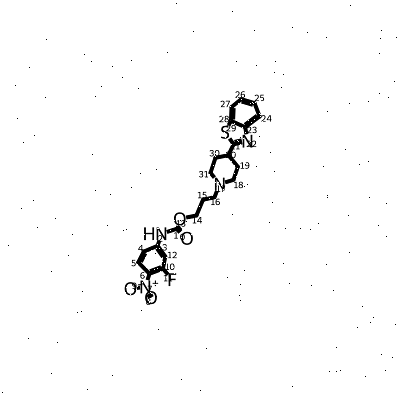 O=C(Nc1ccc([N+](=O)[O-])c(F)c1)OCCCN1CCC(c2nc3ccccc3s2)CC1